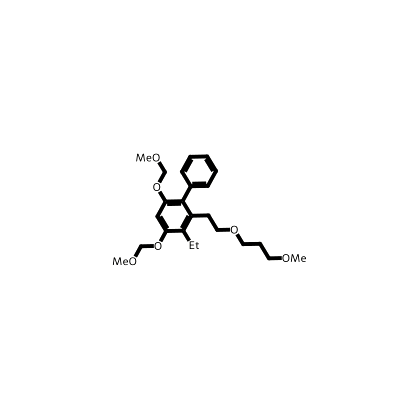 CCc1c(OCOC)cc(OCOC)c(-c2ccccc2)c1CCOCCCOC